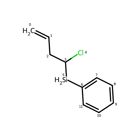 C=CCC(Cl)[SiH2]c1ccccc1